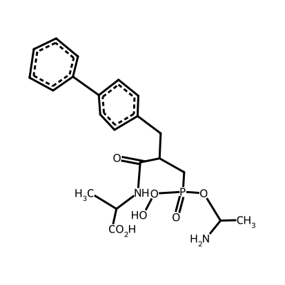 CC(N)OP(=O)(CC(Cc1ccc(-c2ccccc2)cc1)C(=O)NC(C)C(=O)O)OO